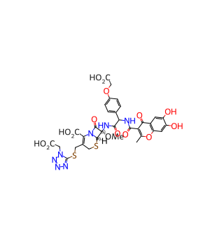 CO[C@@]1(NC(=O)C(NC(=O)c2c(C)oc3cc(O)c(O)cc3c2=O)c2ccc(OCC(=O)O)cc2)C(=O)N2C(C(=O)O)=C(CSc3nnnn3CC(=O)O)CS[C@@H]21